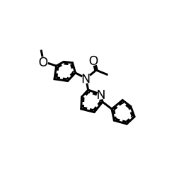 COc1ccc(N(C(C)=O)c2cccc(-c3ccccc3)n2)cc1